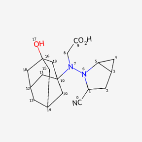 N#CC1CC2CC2N1N(CC(=O)O)C12CC3CC(CC(O)(C3)C1)C2